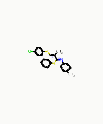 CC(=C\Sc1ccc(Cl)cc1)/C(=N/c1ccc(C)cc1)Sc1ccccc1